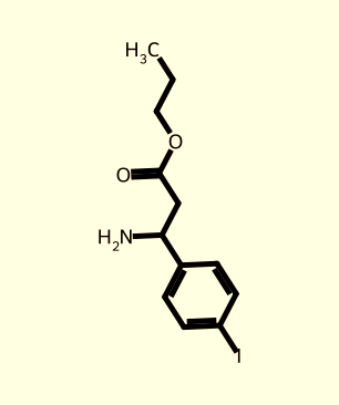 CCCOC(=O)CC(N)c1ccc(I)cc1